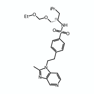 CCOCOC[C@H](CC(C)C)NS(=O)(=O)c1ccc(CCn2c(C)nc3cnccc32)cc1